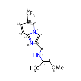 COCC(C)NCc1cn2cc(C(F)(F)F)ccc2n1